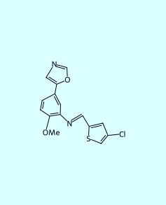 COc1ccc(-c2cnco2)cc1N=Cc1cc(Cl)cs1